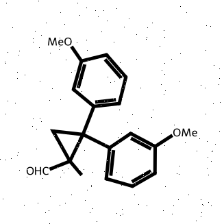 COc1cccc(C2(c3cccc(OC)c3)CC2(C)C=O)c1